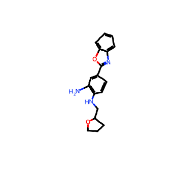 Nc1cc(-c2nc3ccccc3o2)ccc1NCC1CCCO1